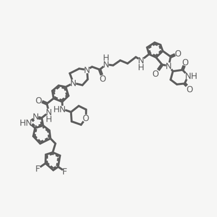 O=C(CN1CCN(c2ccc(C(=O)Nc3n[nH]c4ccc(Cc5cc(F)cc(F)c5)cc34)c(NC3CCOCC3)c2)CC1)NCCCCNc1cccc2c1C(=O)N(C1CCC(=O)NC1=O)C2=O